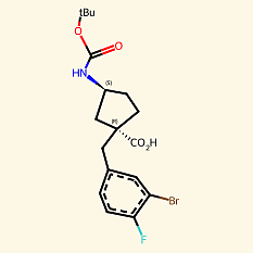 CC(C)(C)OC(=O)N[C@H]1CC[C@](Cc2ccc(F)c(Br)c2)(C(=O)O)C1